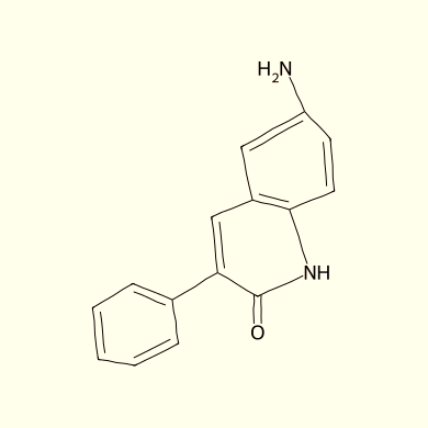 Nc1ccc2[nH]c(=O)c(-c3ccccc3)cc2c1